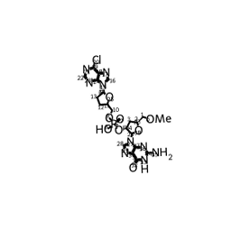 COC[C@@H]1C[C@@H](OP(=O)(O)OCC2CC[C@H](n3cnc4c(Cl)ncnc43)O2)C(n2cnc3c(=O)[nH]c(N)nc32)O1